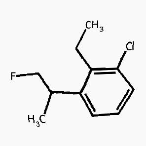 CCc1c(Cl)cccc1[C](C)CF